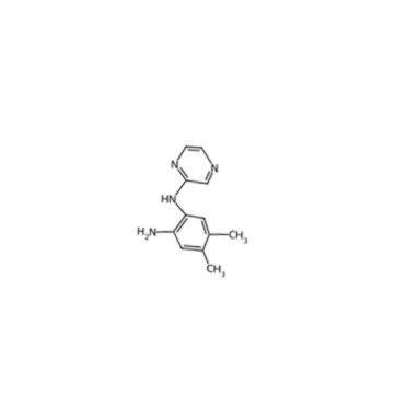 Cc1cc(N)c(Nc2cnccn2)cc1C